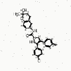 CC1(C)CCc2cc(NC(=O)N3CC(c4ccc(F)cc4)=C(c4ccc(Cl)cc4)N3)ccc2O1